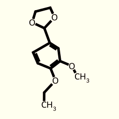 CCOc1ccc(C2OCCO2)cc1OC